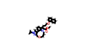 CCOC(=O)c1c(CCCOc2cccc3ccccc23)c2cccc3c2n1C/C=C\COCc1nn(C2CC2)c(C)c1-3